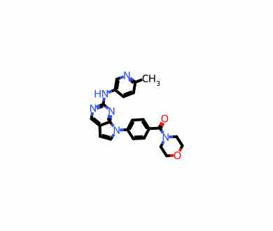 Cc1ccc(Nc2ncc3ccn(-c4ccc(C(=O)N5CCOCC5)cc4)c3n2)cn1